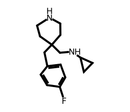 Fc1ccc(CC2(CNC3CC3)CCNCC2)cc1